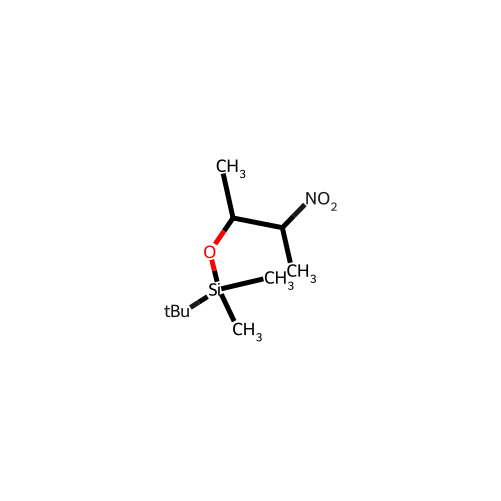 CC(O[Si](C)(C)C(C)(C)C)C(C)[N+](=O)[O-]